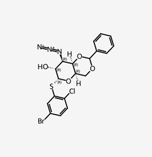 [N-]=[N+]=N[C@@H]1[C@@H](O)[C@@H](Sc2cc(Br)ccc2Cl)O[C@@H]2COC(c3ccccc3)O[C@H]12